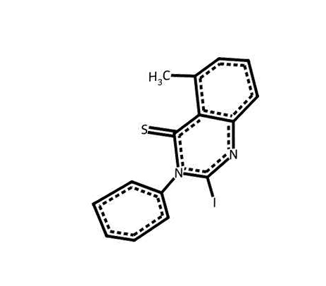 Cc1cccc2nc(I)n(-c3ccccc3)c(=S)c12